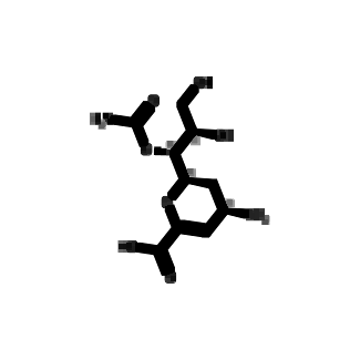 NC(=O)O[C@H]([C@H](O)CO)[C@H]1C[C@@H](N)C=C(C(=O)O)O1